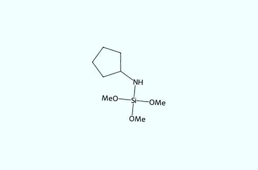 CO[Si](NC1CCCC1)(OC)OC